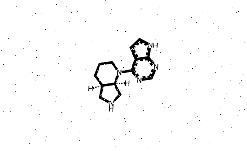 c1nc(N2CCC[C@@H]3CNC[C@@H]32)c2cc[nH]c2n1